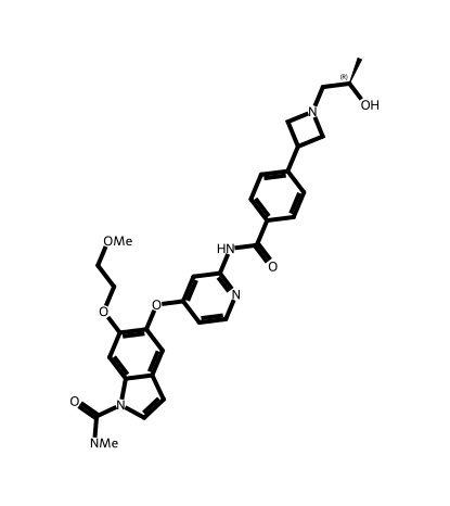 CNC(=O)n1ccc2cc(Oc3ccnc(NC(=O)c4ccc(C5CN(C[C@@H](C)O)C5)cc4)c3)c(OCCOC)cc21